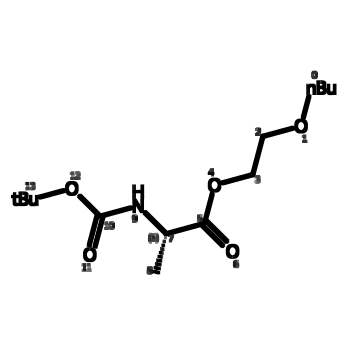 CCCCOCCOC(=O)[C@H](C)NC(=O)OC(C)(C)C